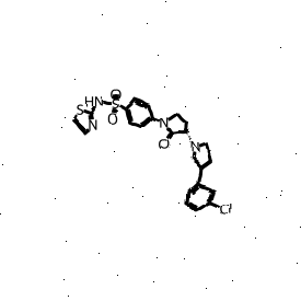 O=C1[C@@H](N2CCC(c3cccc(Cl)c3)C2)CCN1c1ccc(S(=O)(=O)Nc2nccs2)cc1